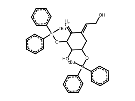 C=C1C(=CCO)CC(O[Si](c2ccccc2)(c2ccccc2)C(C)(C)C)C(O)C1O[Si](c1ccccc1)(c1ccccc1)C(C)(C)C